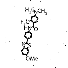 COc1ccc2nc(-c3ccc(NC(=O)c4ccc(N(C)C)cc4C(F)(F)F)cc3)sc2c1